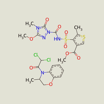 CC1COc2ccccc2N1C(=O)C(Cl)Cl.COC(=O)c1csc(C)c1S(=O)(=O)NC(=O)n1nc(OC)n(C)c1=O